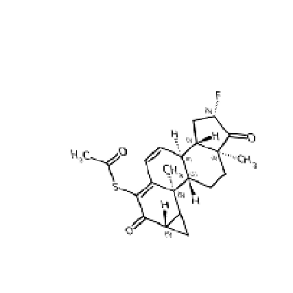 CC(=O)SC1=C2C=C[C@H]3[C@@H]4C[C@H](F)C(=O)[C@@]4(C)CC[C@@H]3[C@@]2(C)C2C[C@@H]2C1=O